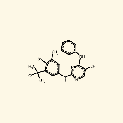 Cc1cnc(Nc2cc(C)c(Br)c(C(C)(C)O)c2)nc1Nc1ccccc1